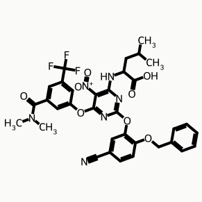 CC(C)CC(Nc1nc(Oc2cc(C#N)ccc2OCc2ccccc2)nc(Oc2cc(C(=O)N(C)C)cc(C(F)(F)F)c2)c1[N+](=O)[O-])C(=O)O